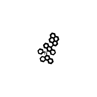 C1=CC(N(c2cc3ccccc3c3c2CCC=C3)c2c3c(c(-c4ccc5ccc6cccc7ccc4c5c67)c4ccccc24)=CCCC=3)=CCC1